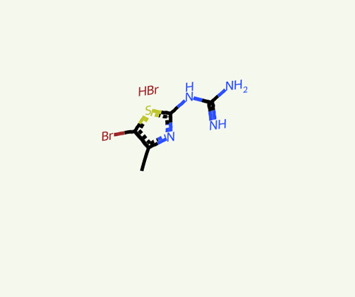 Br.Cc1nc(NC(=N)N)sc1Br